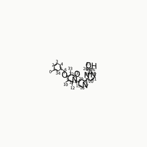 Cc1cccc(COc2c(C)c(C)n(-c3ccnc(-c4ccnc(C(C)(C)O)n4)c3)c(=O)c2C)c1